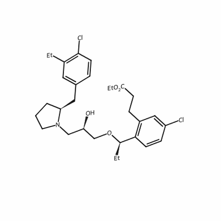 CCOC(=O)CCc1cc(Cl)ccc1[C@@H](CC)OC[C@H](O)CN1CCC[C@H]1Cc1ccc(Cl)c(CC)c1